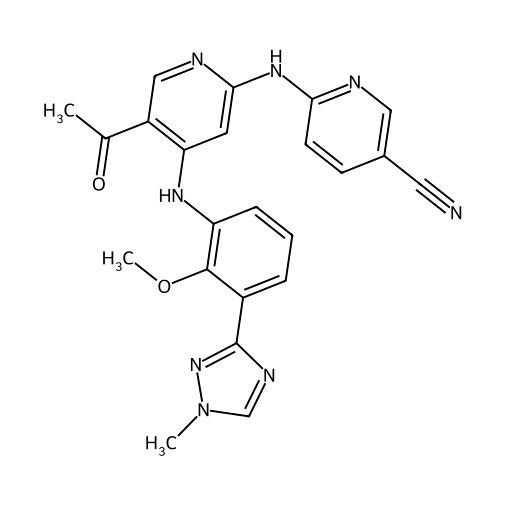 COc1c(Nc2cc(Nc3ccc(C#N)cn3)ncc2C(C)=O)cccc1-c1ncn(C)n1